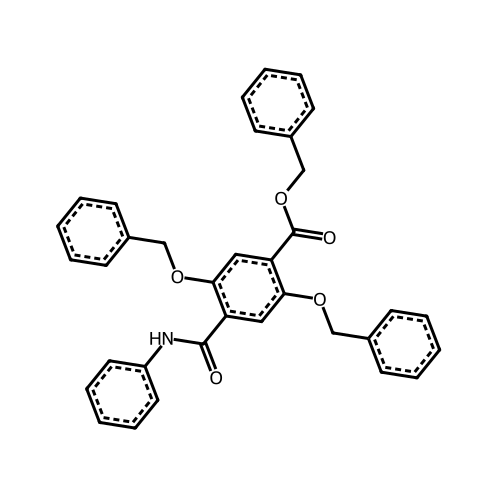 O=C(Nc1ccccc1)c1cc(OCc2ccccc2)c(C(=O)OCc2ccccc2)cc1OCc1ccccc1